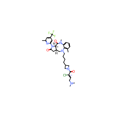 Cc1cc(C(F)(F)F)cc(N2C(=O)C[C@@H]3CN(CCCCC4CN(C(=O)/C(Cl)=C/CN(C)C)C4)c4c(C)cccc4N(C)C(=O)[C@H]32)n1